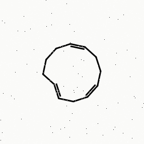 [C]1=C\CC/C=C\C/C=C/CCC/1